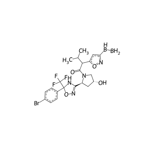 BBc1cc(C(C(=O)N2C[C@H](O)C[C@H]2C2=NOC(c3ccc(Br)cc3)(C(F)(F)F)N2)C(C)C)on1